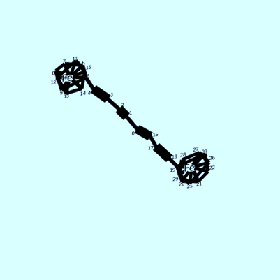 C(C#CC#C[C]12[CH]3[CH]4[CH]5[CH]1[Fe]45321678[CH]2[CH]1[CH]6[CH]7[CH]28)#CC#C[C]12[CH]3[CH]4[CH]5[CH]1[Fe]45321678[CH]2[CH]1[CH]6[CH]7[CH]28